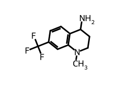 CN1CCC(N)c2ccc(C(F)(F)F)cc21